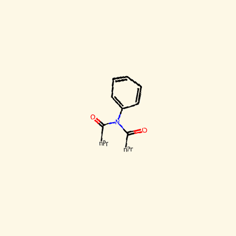 CCCC(=O)N(C(=O)CCC)c1ccccc1